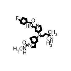 CNC(=O)n1ccc2cc(N(CCC(C)(C)O)c3ccnc(NC(=O)c4ccc(F)cc4)c3)ccc21